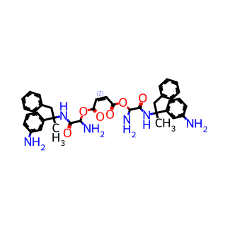 CC(Cc1ccccc1)(NC(=O)C(N)OC(=O)/C=C\C(=O)OC(N)C(=O)NC(C)(Cc1ccccc1)c1cccc(N)c1)c1cccc(N)c1